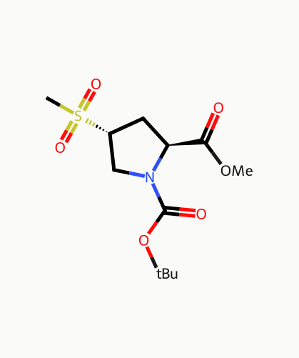 COC(=O)[C@@H]1C[C@@H](S(C)(=O)=O)CN1C(=O)OC(C)(C)C